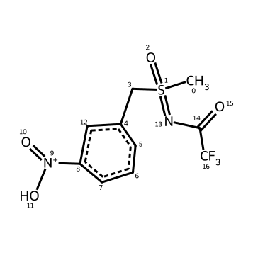 CS(=O)(Cc1cccc([N+](=O)O)c1)=NC(=O)C(F)(F)F